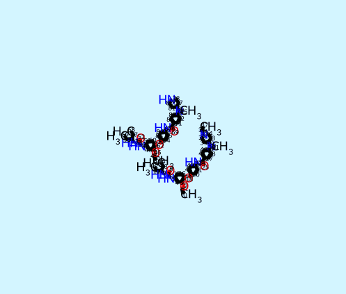 CCOc1cc(NC(=O)NC(CC)CC)ccc1Oc1ccc(NC(=O)c2ccc(N(C)C3CCN(CC)CC3)cc2)cc1.CCOc1cc(NC(=O)NC(CC)CC)ccc1Oc1ccc(NC(=O)c2ccc(N(C)C3CCNCC3)cc2)cc1